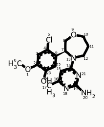 COc1cc(Cl)c([C@H]2COCCCN2c2cc(C)nc(N)n2)cc1O